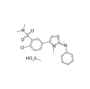 CN(C)S(=O)(=O)c1cc(-c2cs/c(=N/c3ccccc3)n2C)ccc1Cl.CS(=O)(=O)O